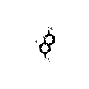 Cc1ccc2nc(C)ccc2c1.I